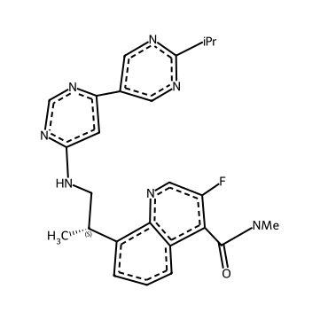 CNC(=O)c1c(F)cnc2c([C@H](C)CNc3cc(-c4cnc(C(C)C)nc4)ncn3)cccc12